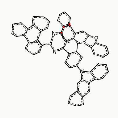 c1ccc(-c2nc(-c3ccc(-n4c5ccccc5c5cc6ccccc6cc54)cc3-c3c4ccccc4cc4oc5ccccc5c34)nc(-c3cccc4c5ccccc5c5ccccc5c34)n2)cc1